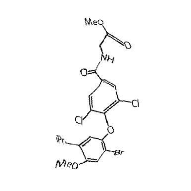 COC(=O)CNC(=O)c1cc(Cl)c(Oc2cc(C(C)C)c(OC)cc2Br)c(Cl)c1